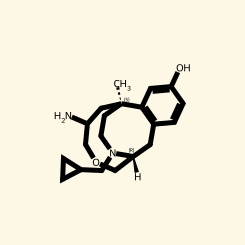 C[C@]12CCN(CC3CC3)[C@@H](COCC(N)C1)Cc1ccc(O)cc12